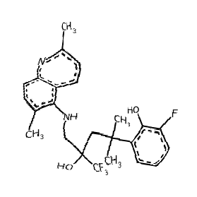 Cc1ccc2c(NCC(O)(CC(C)(C)c3cccc(F)c3O)C(F)(F)F)c(C)ccc2n1